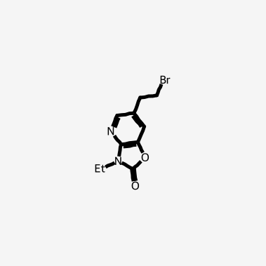 CCn1c(=O)oc2cc(CCBr)cnc21